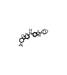 CN(C)[C@@H]1CCc2oc3nc(Nc4ccc5nc(N6CCOCC6)sc5c4)ccc3c2C1